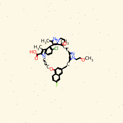 COCCn1nc2cc1CCc1cc(c3ccc(F)cc3c1)OCCCn1c(C(=O)O)c(C)c3c(c(Cl)ccc31)-c1c(C)nn3c1C(C)(CC2)OCC3